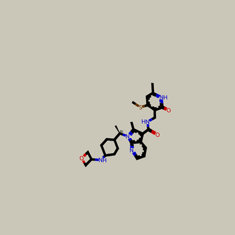 CSc1cc(C)[nH]c(=O)c1CNC(=O)c1c(C)n([C@H](C)C2CCC(NC3COC3)CC2)c2ncccc12